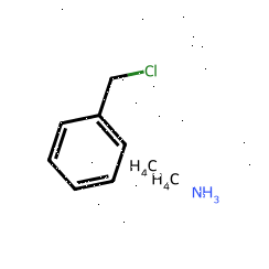 C.C.ClCc1ccccc1.N